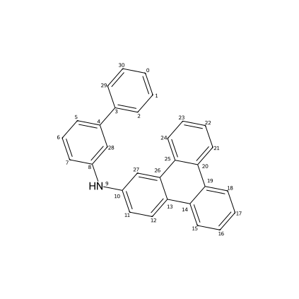 c1ccc(-c2cccc(Nc3ccc4c5ccccc5c5ccccc5c4c3)c2)cc1